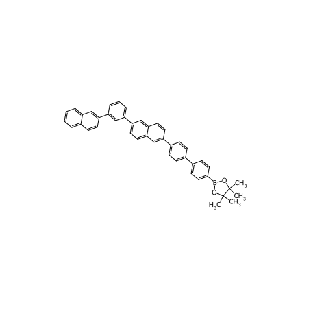 CC1(C)OB(c2ccc(-c3ccc(-c4ccc5cc(-c6cccc(-c7ccc8ccccc8c7)c6)ccc5c4)cc3)cc2)OC1(C)C